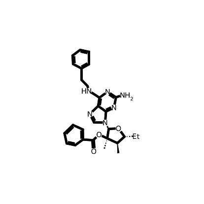 CC[C@H]1O[C@@H](n2cnc3c(NCCc4ccccc4)nc(N)nc32)[C@](C)(OC(=O)c2ccccc2)[C@@H]1C